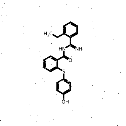 CCc1ccccc1C(=N)NC(=O)c1ccccc1Sc1ccc(O)cc1